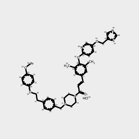 Cc1cc(/C=C/C(=O)N2CCN(Cc3ccc(CCOc4ccc(OC(C)C)cc4)cc3)CC2)cc(C)c1Oc1ccc(OCc2cncs2)cn1.Cl